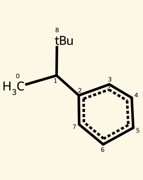 CC(c1[c]cccc1)C(C)(C)C